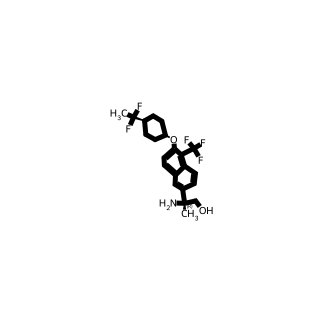 CC(F)(F)[C@H]1CC[C@H](Oc2ccc3cc([C@@](C)(N)CO)ccc3c2C(F)(F)F)CC1